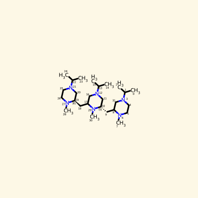 CC(C)N1CCN(C)C(C[C@H]2CN(C(C)C)CC(C[C@@H]3CN(C(C)C)CCN3C)N2C)C1